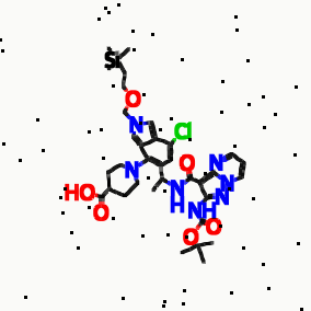 CC(NC(=O)c1c(NC(=O)OC(C)(C)C)nn2cccnc12)c1cc(Cl)c2cn(COCC[Si](C)(C)C)cc2c1N1CCC(C(=O)O)CC1